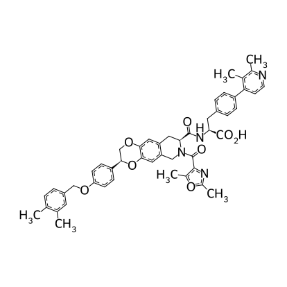 Cc1nc(C(=O)N2Cc3cc4c(cc3C[C@H]2C(=O)N[C@@H](Cc2ccc(-c3ccnc(C)c3C)cc2)C(=O)O)OC[C@H](c2ccc(OCc3ccc(C)c(C)c3)cc2)O4)c(C)o1